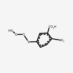 Nc1ccc(SOOO)cc1C(=O)O